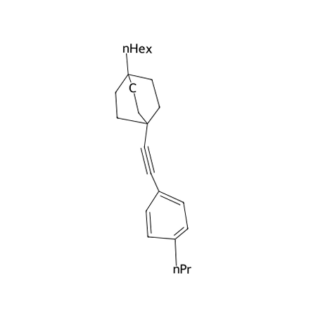 CCCCCCC12CCC(C#Cc3ccc(CCC)cc3)(CC1)CC2